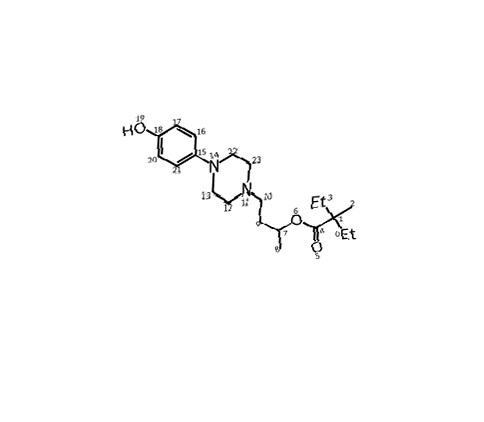 CCC(C)(CC)C(=O)OC(C)CCN1CCN(c2ccc(O)cc2)CC1